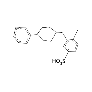 Cc1ccc(S(=O)(=O)O)cc1CC1CCC(c2ccccc2)CC1